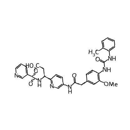 COc1cc(CC(=O)Nc2ccc(C(CC(=O)O)NS(=O)(=O)c3cccnc3)nc2)ccc1NC(=O)Nc1ccccc1C